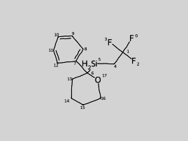 FC(F)(F)C[SiH2]C1(c2ccccc2)CCCCO1